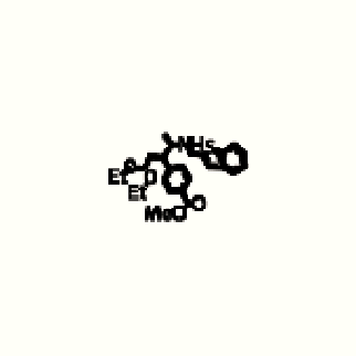 CCOC(CC(c1ccc(C(=O)OC)cc1)C(C)NCc1cc2ccccc2s1)OCC